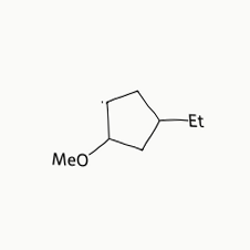 [CH2]CC1C[CH]C(OC)C1